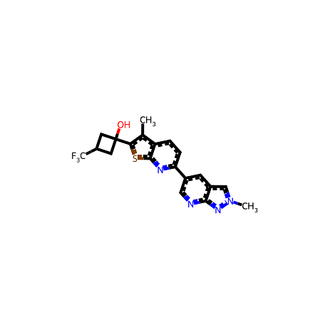 Cc1c(C2(O)CC(C(F)(F)F)C2)sc2nc(-c3cnc4nn(C)cc4c3)ccc12